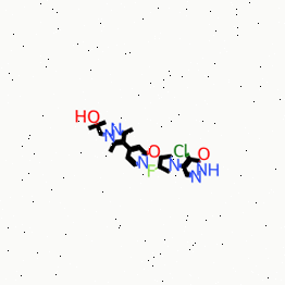 Cc1nn(CC(C)(C)O)c(C)c1-c1ccnc(O[C@H]2CN(c3cn[nH]c(=O)c3Cl)C[C@@H]2F)c1